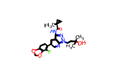 CC(C)(O)CCn1nc(NC(=O)C2(C)CC2)c2cc(-c3ccc4c(c3F)OCO4)cnc21